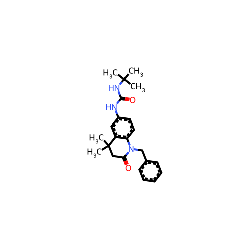 CC(C)(C)NC(=O)Nc1ccc2c(c1)C(C)(C)CC(=O)N2Cc1ccccc1